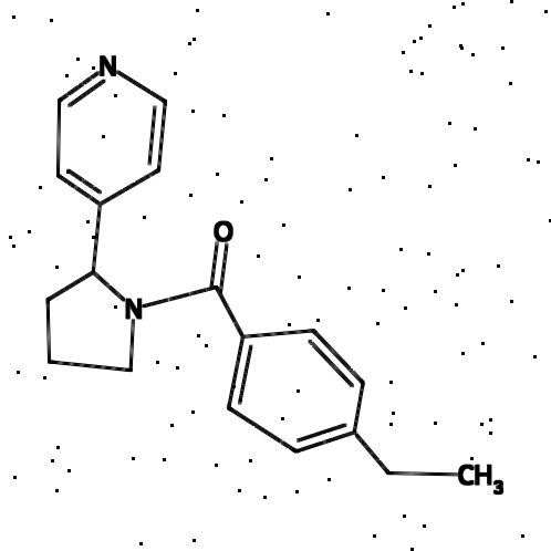 CCc1ccc(C(=O)N2CCCC2c2ccncc2)cc1